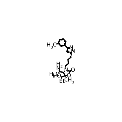 CC[C@@H](O)[C@@]1(C)OC(=O)N(CCCCn2cc(-c3cccc(C)c3)nn2)[C@@H]1[C@@H](C)N